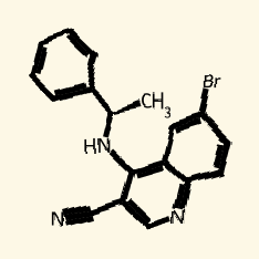 C[C@@H](Nc1c(C#N)cnc2ccc(Br)cc12)c1ccccc1